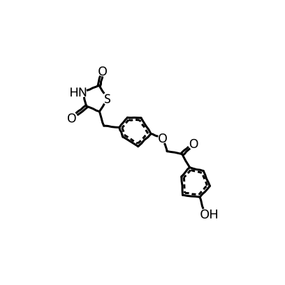 O=C1NC(=O)C(Cc2ccc(OCC(=O)c3ccc(O)cc3)cc2)S1